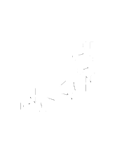 O=C(/C=C/c1ccc(CNC2(C(=O)OC(=O)C(F)(F)F)CCCC2)cn1)NO